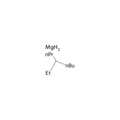 [CH2]CCC(CC)CCCC.[MgH2]